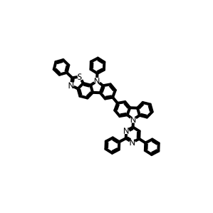 c1ccc(-c2cc(-n3c4ccccc4c4cc(-c5ccc6c(c5)c5ccc7nc(-c8ccccc8)sc7c5n6-c5ccccc5)ccc43)nc(-c3ccccc3)n2)cc1